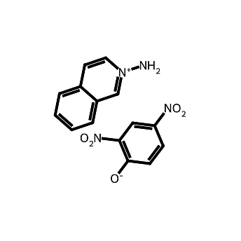 N[n+]1ccc2ccccc2c1.O=[N+]([O-])c1ccc([O-])c([N+](=O)[O-])c1